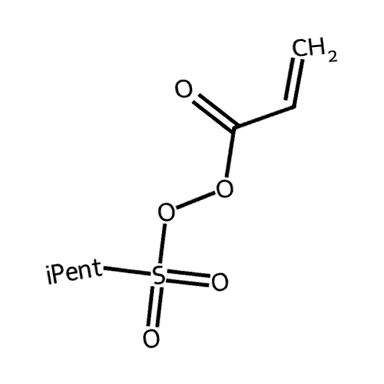 C=CC(=O)OOS(=O)(=O)C(C)CCC